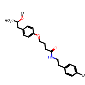 CCOC(Cc1ccc(OCCCC(=O)NCCc2ccc(CC)cc2)cc1)C(=O)O